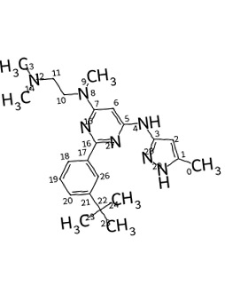 Cc1cc(Nc2cc(N(C)CCN(C)C)nc(-c3cccc(C(C)(C)C)c3)n2)n[nH]1